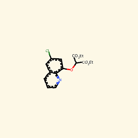 CCOC(=O)C(Oc1cc(Cl)cc2cccnc12)C(=O)OCC